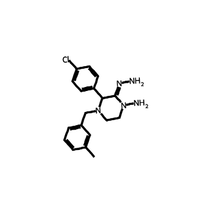 Cc1cccc(CN2CCN(N)/C(=N\N)C2c2ccc(Cl)cc2)c1